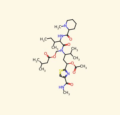 CCC(C)C(NC(=O)C1CCCCN1C)C(=O)N(COC(=O)CC(C)C)C(CC(OC(C)=O)c1nc(C(=O)NC)cs1)C(C)C